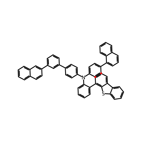 c1cc(-c2ccc(N(c3ccc(-c4cccc5ccccc45)cc3)c3ccccc3-c3cccc4c3sc3ccccc34)cc2)cc(-c2ccc3ccccc3c2)c1